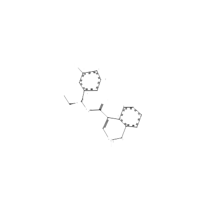 CC[C@H](NC(=O)C1=CNCc2ccccc21)c1cccc(F)c1